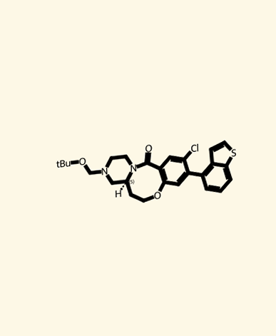 CC(C)(C)OCN1CCN2C(=O)c3cc(Cl)c(-c4cccc5sccc45)cc3OCC[C@H]2C1